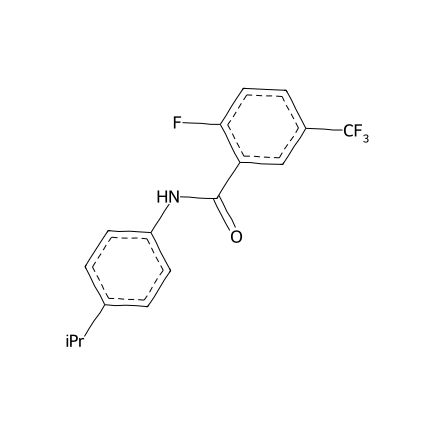 CC(C)c1ccc(NC(=O)c2cc(C(F)(F)F)ccc2F)cc1